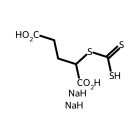 O=C(O)CCC(SC(=S)S)C(=O)O.[NaH].[NaH]